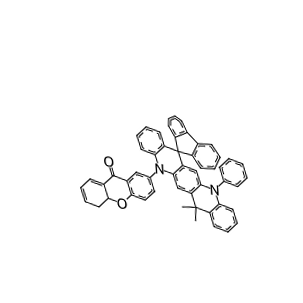 CC1(C)c2ccccc2N(c2ccccc2)c2cc3c(cc21)N(c1ccc2c(c1)C(=O)C1=CC=CCC1O2)c1ccccc1C31c2ccccc2-c2ccccc21